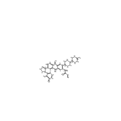 C=CC(=O)Nc1cc(Nc2cc(N3OCCC3c3cccc(Cl)c3C)ncn2)c(OC)cc1N1CCC(N2CCN(C)CC2)CC1